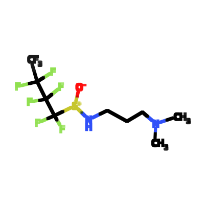 CN(C)CCCN[S+]([O-])C(F)(F)C(F)(F)C(F)(F)C(F)(F)F